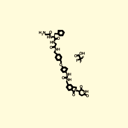 NCC(=O)N[C@@H](Cc1ccccc1)C(=O)NCC(=O)NCc1ccc(COc2ccc(NC(=O)NCc3ccc4c(c3)CN(C3CCC(=O)NC3=O)C4=O)cc2)cc1.O=C(O)C(F)(F)F